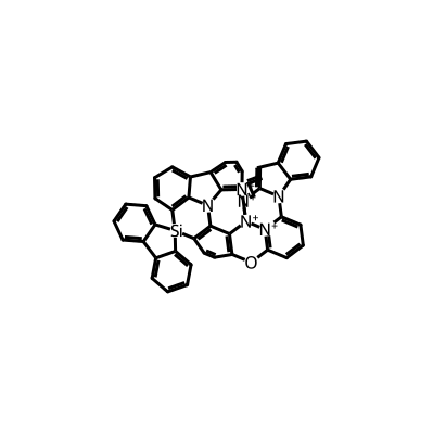 c1ccc2c(c1)-c1ccccc1[Si]21c2ccc3c4c2-n2c5c1cccc5c1ccc[n+](c12)[N+]41[n+]2c(cccc2-n2c4ccccc4c4ccc[n+]1c42)O3